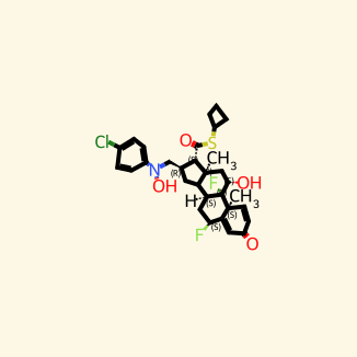 C[C@]12C[C@H](O)[C@@]3(F)[C@@H](C[C@H](F)C4=CC(=O)C=C[C@@]43C)C1C[C@@H](CN(O)c1ccc(Cl)cc1)[C@@H]2C(=O)SC1CCC1